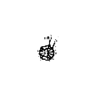 CCCC[C]12[CH]3[CH]4[CH]5[CH]1[Ru]45321678[CH]2[CH]1[CH]6[C]7(C(C)=O)[CH]28